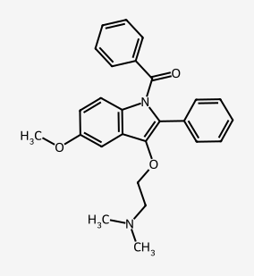 COc1ccc2c(c1)c(OCCN(C)C)c(-c1ccccc1)n2C(=O)c1ccccc1